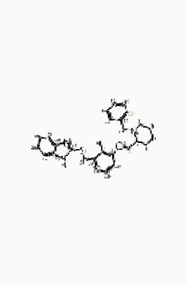 Cc1c(OCC2CCCCN2Cc2ccccc2)ccnc1CSc1nc2ccccc2[nH]1